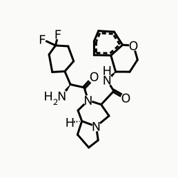 N[C@H](C(=O)N1C[C@@H]2CCCN2CC1C(=O)N[C@@H]1CCOc2ccccc21)C1CCC(F)(F)CC1